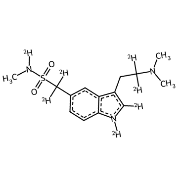 [2H]c1c(CC([2H])([2H])N(C)C)c2cc(C([2H])([2H])S(=O)(=O)N([2H])C)ccc2n1[2H]